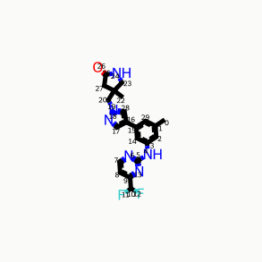 Cc1cc(Nc2nccc(C(F)F)n2)cc(-c2cnn(CC3(C)CNC(=O)C3)c2)c1